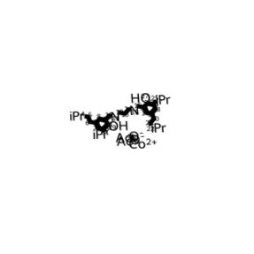 CC(=O)[O-].CC(=O)[O-].CC(C)CCc1cc(C=NCCCN=Cc2cc(CCC(C)C)cc(C(C)C)c2O)c(O)c(C(C)C)c1.[Co+2]